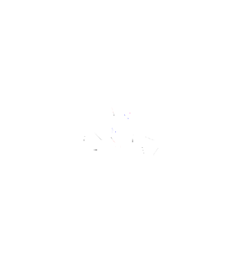 O=C1CN(C(=O)c2c(F)cccc2F)C(c2cc3ccccc3s2)N1O